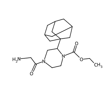 CCOC(=O)N1CCN(C(=O)CN)CC1C12CC3CC(CC(C3)C1)C2